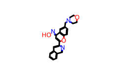 ON=c1cc(-c2cc3ccccc3cn2)oc2ccc(CN3CCOCC3)cc12